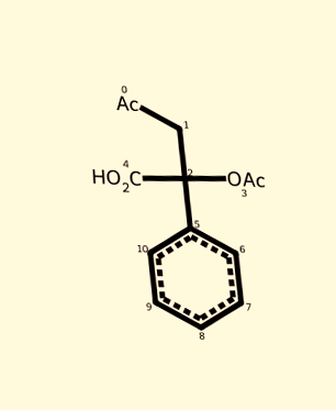 CC(=O)CC(OC(C)=O)(C(=O)O)c1ccccc1